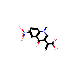 C=C(C(=O)O)c1cn(C)c2ccc([N+](=O)[O-])cc2c1=O